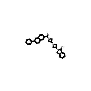 O=C(c1ccc2cc(-c3ccccc3)ccc2c1)N1CC(N2CC(N3Cc4ccccc4C3=O)C2)C1